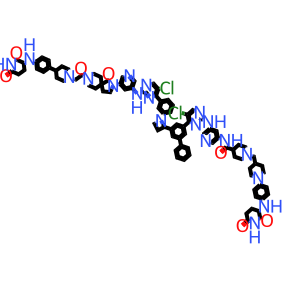 O=C1CCC(Nc2ccc(C3CCN(CC(=O)N4CCC5(CC4)CCN(c4cncc(Nc6ncc(Cl)c(-c7cccc(N8CCC8c8cc(-c9ccccc9)cc(-c9nc(Nc%10cncc(NC(=O)C%11CCN(CC%12CCN(c%13ccc(NC%14CCC(=O)NC%14=O)cc%13)CC%12)CC%11)c%10)ncc9Cl)c8)c7)n6)c4)C5=O)CC3)cc2)C(=O)N1